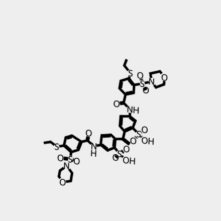 C=C(c1ccc(NC(=O)c2ccc(SCC)c(S(=O)(=O)N3CCOCC3)c2)cc1S(=O)(=O)O)c1ccc(NC(=O)c2ccc(SCC)c(S(=O)(=O)N3CCOCC3)c2)cc1S(=O)(=O)O